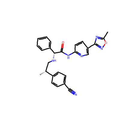 Cc1nc(-c2ccc(NC(=O)[C@H](NC[C@@H](C)c3ccc(C#N)cc3)c3ccccc3)nc2)no1